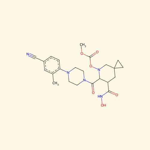 COC(=O)ON1CC2(CC2)CC(C(=O)NO)C1C(=O)N1CCN(c2ccc(C#N)cc2C)CC1